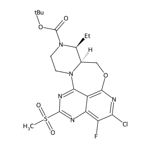 CC[C@H]1[C@H]2COc3nc(Cl)c(F)c4nc(S(C)(=O)=O)nc(c34)N2CCN1C(=O)OC(C)(C)C